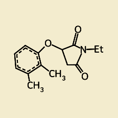 CCN1C(=O)CC(Oc2cccc(C)c2C)C1=O